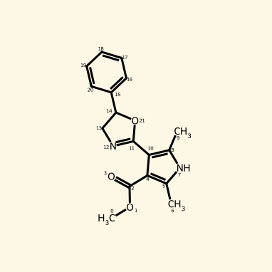 COC(=O)c1c(C)[nH]c(C)c1C1=NCC(c2ccccc2)O1